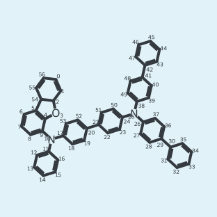 C1=CC2Oc3c(cccc3N(c3ccccc3)c3ccc(-c4ccc(N(c5ccc(-c6ccccc6)cc5)c5ccc(-c6ccccc6)cc5)cc4)cc3)C2C=C1